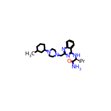 CC1CCCC(N2CCN(Cc3nc(N[C@H](C(N)=O)C(C)C)c4ccccc4n3)CC2)C1